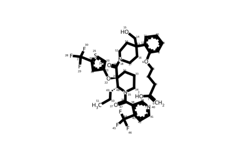 C=C(O)CCCOc1ccccc1C1(CO)CCN(C(=O)[C@]2(Oc3csc(C(F)(F)F)c3)CCCN(C(=O)c3cnccc3C(F)(F)F)[C@@H]2CCC)CC1